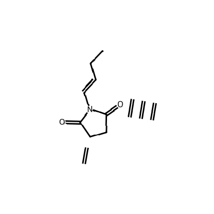 C=C.C=C.C=C.C=C.CC/C=C/N1C(=O)CCC1=O